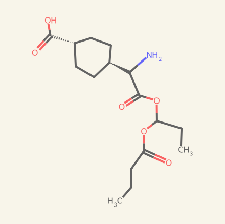 CCCC(=O)OC(CC)OC(=O)C(N)[C@H]1CC[C@H](C(=O)O)CC1